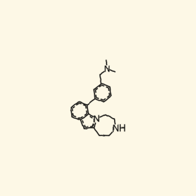 CN(C)Cc1cccc(-c2cccc3cc4n(c23)CCNCC4)c1